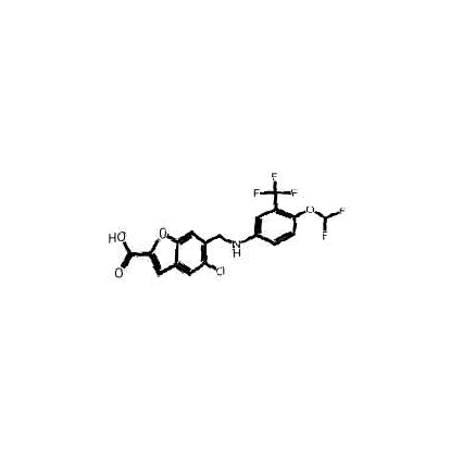 O=C(O)c1cc2cc(Cl)c(CNc3ccc(OC(F)F)c(C(F)(F)F)c3)cc2o1